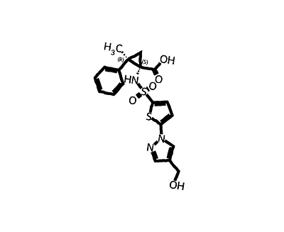 C[C@]1(c2ccccc2)C[C@@]1(NS(=O)(=O)c1ccc(-n2cc(CO)cn2)s1)C(=O)O